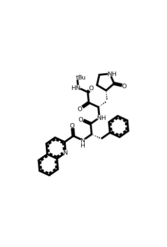 CC(C)(C)NC(=O)C(=O)[C@H](C[C@@H]1CCNC1=O)NC(=O)[C@H](Cc1ccccc1)NC(=O)c1ccc2ccccc2n1